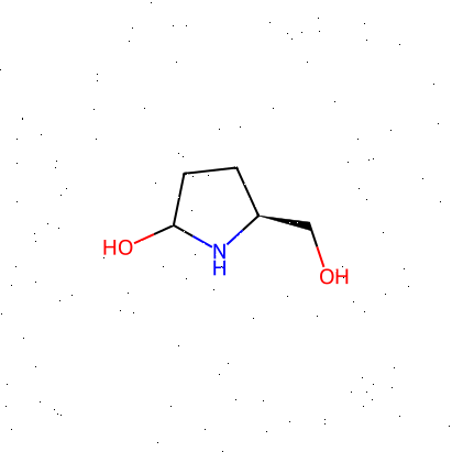 OC[C@@H]1CCC(O)N1